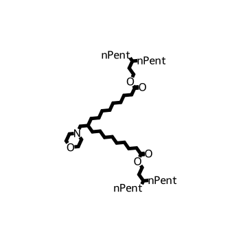 CCCCCC(CCCCC)CCOC(=O)CCCCCCCCC(CCCCCCCCC(=O)OCCC(CCCCC)CCCCC)CN1CCOCC1